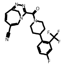 N#CC1=CN2CC(=NN=C2C(=O)N2CCC(c3ccc(F)cc3C(F)(F)F)CC2)C=C1